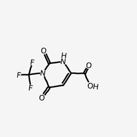 O=C(O)c1cc(=O)n(C(F)(F)F)c(=O)[nH]1